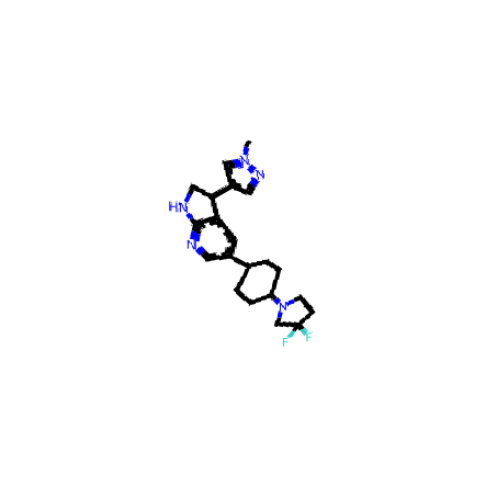 Cn1cc(C2CNc3ncc(C4CCC(N5CCC(F)(F)C5)CC4)cc32)cn1